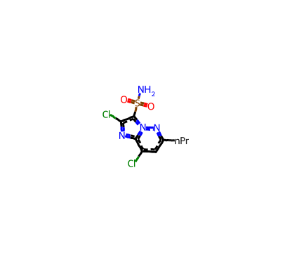 CCCc1cc(Cl)c2nc(Cl)c(S(N)(=O)=O)n2n1